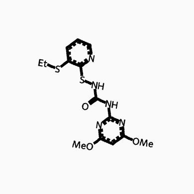 CCSc1cccnc1SNC(=O)Nc1nc(OC)cc(OC)n1